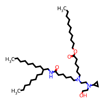 CCCCCCCCCCCOC(=O)CCCCCN(CCCCCC(=O)NCC(CCCCCCCC)CCCCCCCC)CCN(CCO)C1CC1